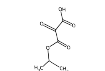 CC(C)OC(=O)C(=O)C(=O)O